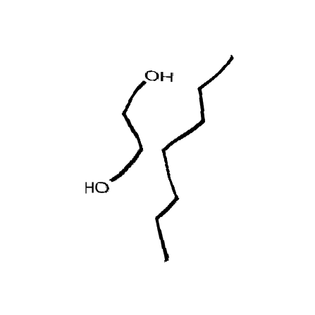 CCCCCCC.OCCO